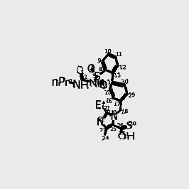 CCCNC(=O)NS(=O)(=O)c1ccccc1-c1ccc(Cn2c(CC)nc(C)c2C(O)=S)cc1